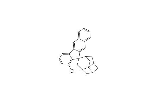 Clc1cccc2c1C1(c3cc4ccccc4cc3-2)C2CC3CC4CC1CC34C2